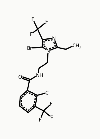 CCc1nc(C(F)(F)F)c(Br)n1CCNC(=O)c1cccc(C(F)(F)F)c1Cl